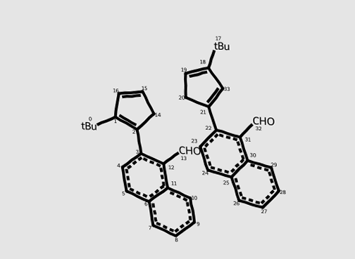 CC(C)(C)C1=C(c2ccc3ccccc3c2C=O)CC=C1.CC(C)(C)C1=CCC(c2ccc3ccccc3c2C=O)=C1